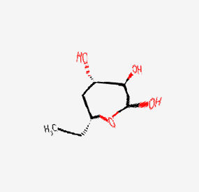 CC[C@@H]1C[C@H](O)[C@@H](O)C(O)O1